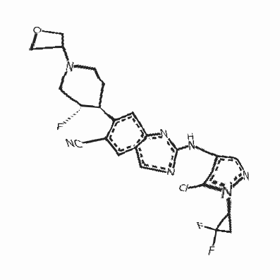 N#Cc1cc2cnc(Nc3cnn(C4CC4(F)F)c3Cl)nc2cc1[C@@H]1CCN(C2COC2)C[C@H]1F